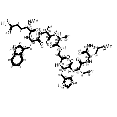 CN[C@@H](CCC(N)=O)C(=O)N[C@@H](Cc1c[nH]c2ccccc12)C(=O)N[C@@H](C)C(=O)N[C@H](C(=O)NCC(=O)N[C@@H](Cc1cnc[nH]1)C(=O)N[C@@H](CC(C)C)C(=O)N[C@@H](CCSC)C(N)=O)C(C)C